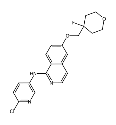 FC1(COc2ccc3c(Nc4ccc(Cl)nc4)nccc3c2)CCOCC1